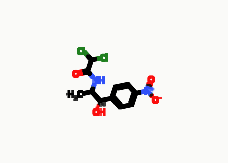 [CH2]C(NC(=O)C(Cl)Cl)[C@@H](O)c1ccc([N+](=O)[O-])cc1